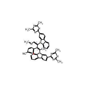 C=N/C=C(\C(=C(/C)n1c2ccccc2c2ccc(-c3nc(C)nc(C)n3)cc21)c1ccc(C#N)cc1)n1c2ccccc2c2ccc(-c3nc(C)nc(C)n3)cc21